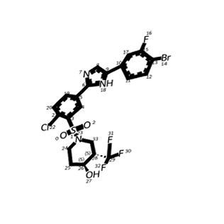 O=S(=O)(c1cc(-c2ncc(-c3ccc(Br)c(F)c3)[nH]2)ccc1Cl)N1CC[C@H](O)[C@@H](C(F)(F)F)C1